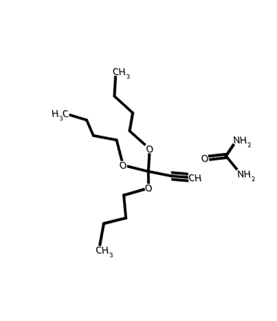 C#CC(OCCCC)(OCCCC)OCCCC.NC(N)=O